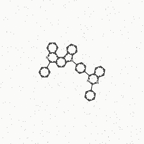 c1ccc(-c2nc(-c3ccc(-n4c5ccccc5c5c6c(ccc54)c(-c4ccccc4)nc4ccccc46)cc3)c3ccccc3n2)cc1